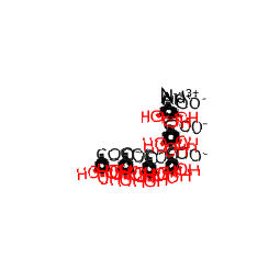 O=C([O-])c1cc(O)c(O)c(O)c1.O=C([O-])c1cc(O)c(O)c(O)c1.O=C([O-])c1cc(O)c(O)c(O)c1.O=C([O-])c1cc(O)c(O)c(O)c1.O=C([O-])c1cc(O)c(O)c(O)c1.O=C([O-])c1cc(O)c(O)c(O)c1.[Al+3].[Nd+3]